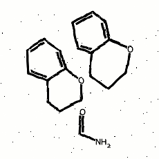 NC=O.c1ccc2c(c1)CCCO2.c1ccc2c(c1)CCCO2